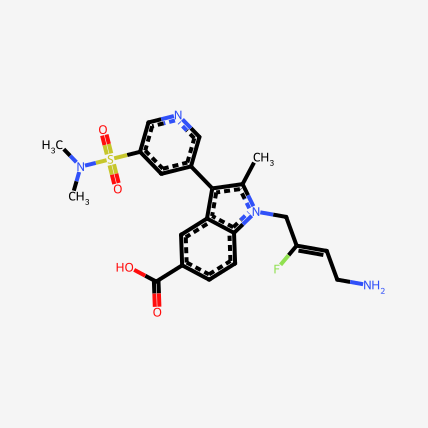 Cc1c(-c2cncc(S(=O)(=O)N(C)C)c2)c2cc(C(=O)O)ccc2n1CC(F)=CCN